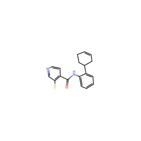 O=C(Nc1ccccc1C1CC=CCC1)c1ccncc1F